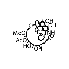 COC1/C=C/OC2(C)Oc3c(C)c(O)c4c(O)c(c(CN5CCCCC5)c(O)c4c3C2=O)NC(=O)/C(C)=C/C=C/C(C)C(O)C(C)C(O)C(C)C(OC(C)=O)C1C